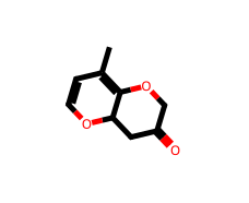 CC1=C2OCC(=O)CC2OC=C1